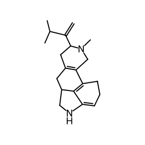 C=C(C(C)C)C1CC2=C(CN1C)C1=C3C(=CCC1)NCC3C2